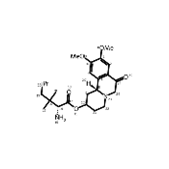 COc1cc2c(cc1OC)[C@H]1CC(OC(=O)[C@H](N)C(C)(C)CC(C)C)CCN1CC2=O